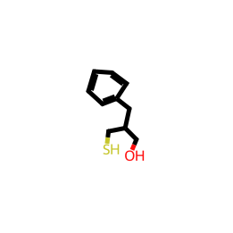 OCC(CS)Cc1ccccc1